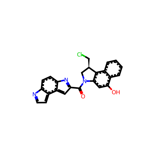 O=C(C1=Nc2ccc3c(c2=C1)=CC=N3)N1C[C@@H](CCl)c2c1cc(O)c1ccccc21